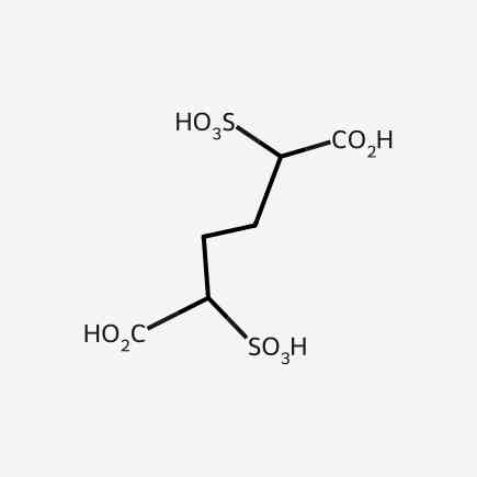 O=C(O)C(CCC(C(=O)O)S(=O)(=O)O)S(=O)(=O)O